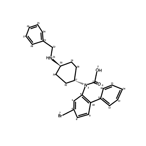 O=C(O)N(c1cc(Br)ccc1-c1ccccc1)[C@H]1CC[C@H](NCc2ccccc2)CC1